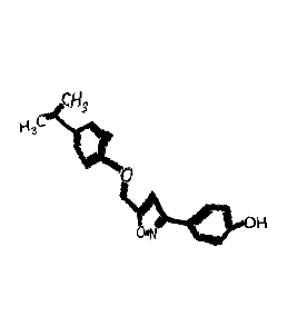 CC(C)c1ccc(OCc2cc(-c3ccc(O)cc3)no2)cc1